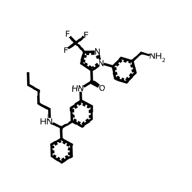 CCCCCNC(c1ccccc1)c1cccc(NC(=O)c2cc(C(F)(F)F)nn2-c2cccc(CN)c2)c1